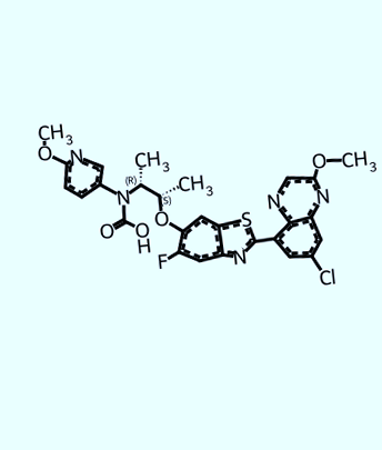 COc1ccc(N(C(=O)O)[C@H](C)[C@H](C)Oc2cc3sc(-c4cc(Cl)cc5nc(OC)cnc45)nc3cc2F)cn1